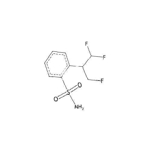 NS(=O)(=O)c1ccccc1C(CF)C(F)F